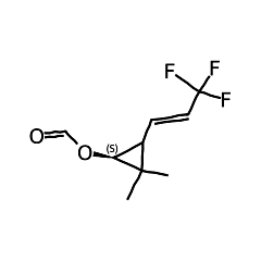 CC1(C)C(C=CC(F)(F)F)[C@@H]1OC=O